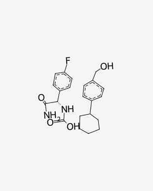 NC(=O)[C@@H](NC(=O)O)c1ccc(F)cc1.OCc1ccc(C2CCCCC2)cc1